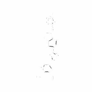 Cc1c(-c2noc(-c3cnc(OC(C)C)c(Cl)c3)n2)ccc2c1CCC2Cc1nnn(C)n1